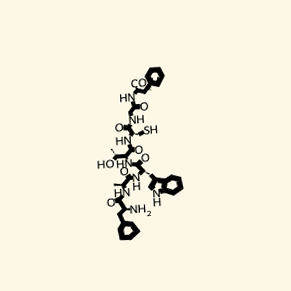 C[C@H](NC(=O)[C@@H](N)Cc1ccccc1)C(=O)N[C@@H](Cc1c[nH]c2ccccc12)C(=O)N[C@H](C(=O)N[C@@H](CS)C(=O)NCC(=O)N[C@@H](Cc1ccccc1)C(=O)O)[C@@H](C)O